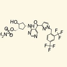 NS(=O)(=O)OC[C@H]1C[C@@H](Nc2ncncc2C(=O)c2ccn(Cc3ccc(C(F)(F)F)cc3C(F)(F)F)n2)C[C@@H]1O